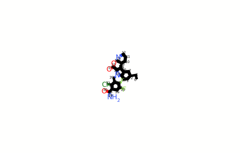 CCc1ccc2c(c1)c1c3cccnc3oc(=O)c1n2Cc1c(F)c(F)cc(C(N)=O)c1Cl